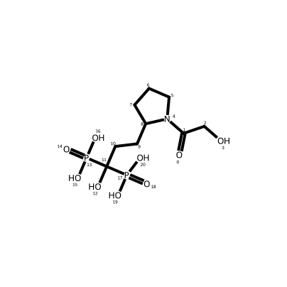 O=C(CO)N1CCCC1CCC(O)(P(=O)(O)O)P(=O)(O)O